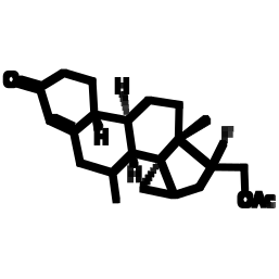 CC(=O)OCC1(F)CC2C[C@@]23[C@@H]2C(C)CC4=CC(=O)CC[C@@H]4[C@H]2CC[C@]13C